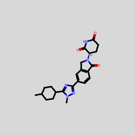 CC1CCC(c2nc(-c3ccc4c(c3)CN([C@@H]3CCC(=O)NC3=O)C4=O)nn2C)CC1